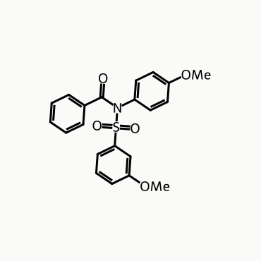 COc1ccc(N(C(=O)c2ccccc2)S(=O)(=O)c2cccc(OC)c2)cc1